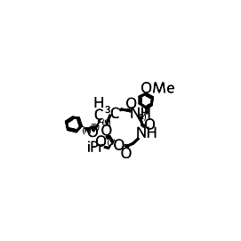 COc1ccc(C[C@H]2NC(=O)CCC[C@@H](C(C)[C@H]3O[C@@H]3c3ccccc3)OC(=O)[C@H](CC(C)C)OC(=O)CCNC2=O)cc1